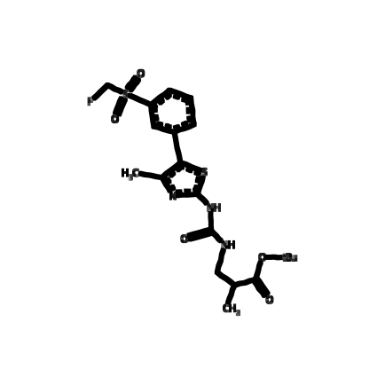 Cc1nc(NC(=O)NCC(C)C(=O)OC(C)(C)C)sc1-c1cccc(S(=O)(=O)CF)c1